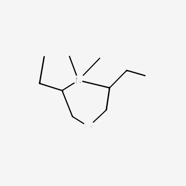 CCC1COCC(CC)[N+]1(C)C